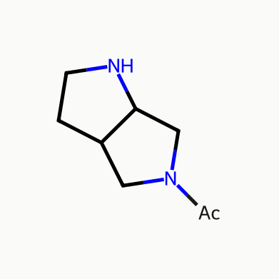 CC(=O)N1CC2CCNC2C1